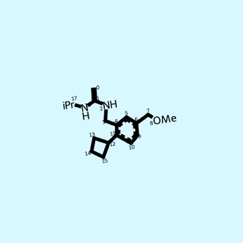 C=C(NCc1cc(COC)ccc1C1CCC1)NC(C)C